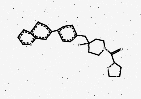 O=C(C1CCCO1)N1CCC(F)(Cc2ccc(-c3ccc4cccnc4c3)cc2)CC1